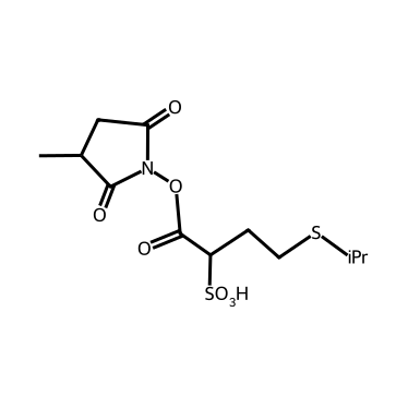 CC(C)SCCC(C(=O)ON1C(=O)CC(C)C1=O)S(=O)(=O)O